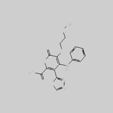 COCCOc1c(Nc2ccccc2)c(-c2nncs2)c(C(N)=O)oc1=O